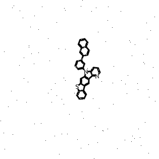 c1cc(-c2ccc3ccccc3c2)cc(-n2c3cc4sc5ccccc5c4cc3c3ncccc32)c1